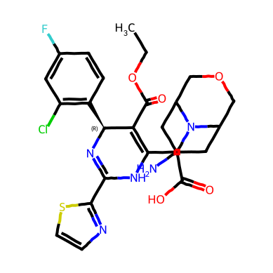 CCOC(=O)C1=C(CN2C3COCC2CC(N)(C(=O)O)C3)NC(c2nccs2)=N[C@H]1c1ccc(F)cc1Cl